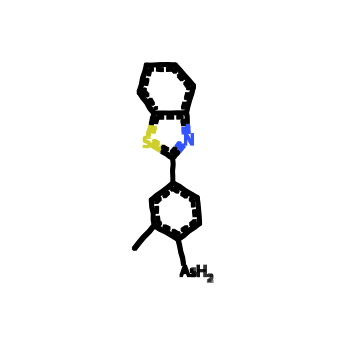 Cc1cc(-c2nc3ccccc3s2)ccc1[AsH2]